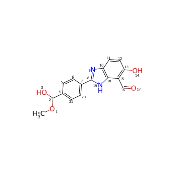 COC(O)c1ccc(-c2nc3ccc(O)c(C=O)c3[nH]2)cc1